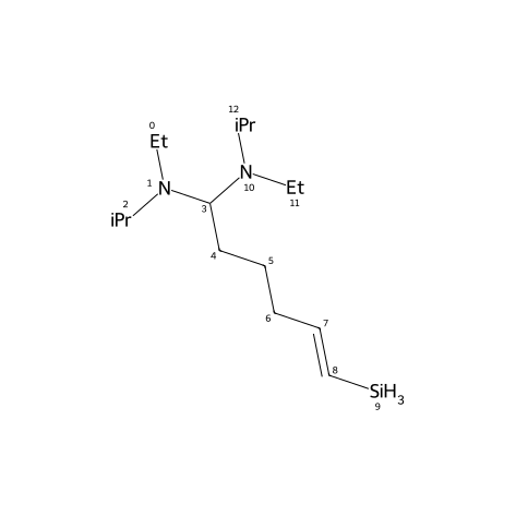 CCN(C(C)C)C(CCCC=C[SiH3])N(CC)C(C)C